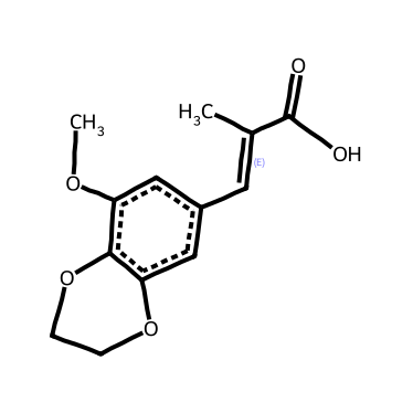 COc1cc(/C=C(\C)C(=O)O)cc2c1OCCO2